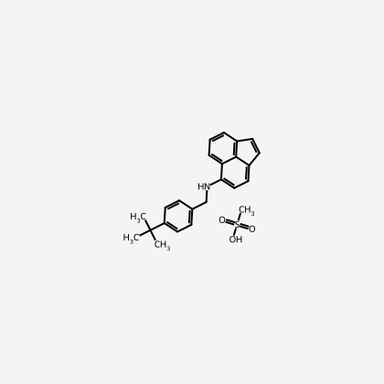 CC(C)(C)c1ccc(CNc2ccc3c4c(cccc24)C=C3)cc1.CS(=O)(=O)O